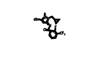 Cn1c(C(C)(C)C)cc(=NC(=O)c2cccc(C(F)(F)F)c2F)n1CC1CC1